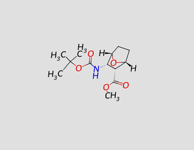 COC(=O)[C@@H]1[C@H](NC(=O)OC(C)(C)C)[C@@H]2CC[C@H]1O2